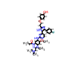 C=CC(=O)Nc1cc(Nc2nccc(-c3[nH]c(CCOc4ccc(O)cc4)nc3-c3ccc(F)cc3)n2)c(OC)cc1N(C)CCN(C)C